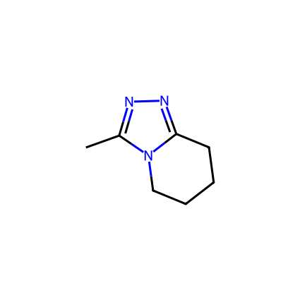 Cc1nnc2n1CCCC2